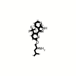 CC(C)C[C@H](N)COc1ccc(C(F)(F)F)c(-c2n[nH]c3ncccc23)n1